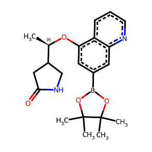 C[C@@H](Oc1cc(B2OC(C)(C)C(C)(C)O2)cc2ncccc12)C1CNC(=O)C1